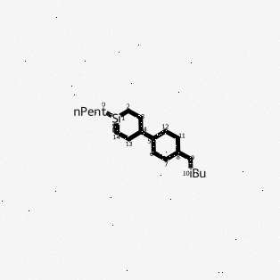 CCCCC[SiH]1CCC(C2CCC(CC(C)CC)CC2)CC1